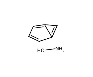 NO.c1cc2cc-2c1